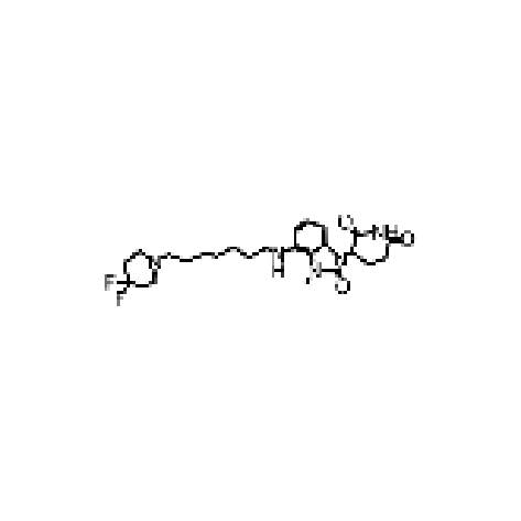 Cn1c(=O)n(C2CCC(=O)NC2=O)c2cccc(NCCCCCCCN3CCC(F)(F)CC3)c21